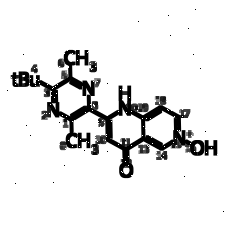 Cc1nc(C(C)(C)C)c(C)nc1-c1cc(=O)c2c[n+](O)ccc2[nH]1